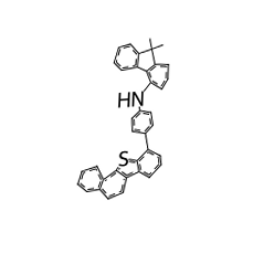 CC1(C)c2ccccc2-c2c(Nc3ccc(-c4cccc5c4sc4c6ccccc6ccc54)cc3)cccc21